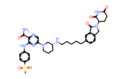 CS(=O)(=O)c1ccc(Nc2nc(N3CCC[C@@H](NCCCCCc4ccc5c(c4)C(=O)N(C4CCC(=O)NC4=O)C5)C3)cnc2C(N)=O)cc1